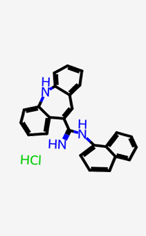 Cl.N=C(Nc1cccc2ccccc12)C1=Cc2ccccc2Nc2ccccc21